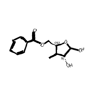 C=C1[C@@H](O)C(O)O[C@@H]1COC(=O)c1ccccc1